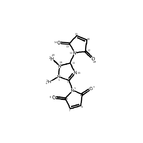 [2H]N1C(N2C(=O)C=CC2=O)=NC(N2C(=O)C=CC2=O)N1[2H]